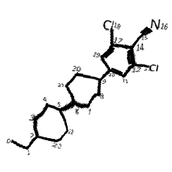 CCC1CCC(C2CCC(c3cc(Cl)c(C#N)c(Cl)c3)CC2)CC1